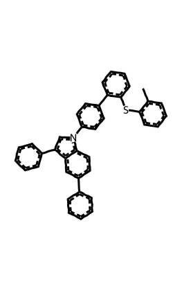 Cc1ccccc1Sc1ccccc1-c1ccc(-n2cc(-c3ccccc3)c3cc(-c4ccccc4)ccc32)cc1